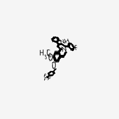 COc1cc2c(cc1OCc1ccc(C(F)(F)F)cc1)CCN1C2Cc2c([nH]c3ccccc23)C1c1ccc(F)cc1